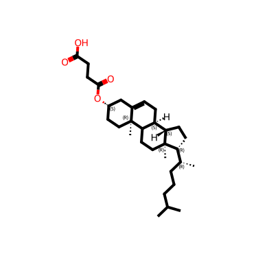 CC(C)CCC[C@@H](C)[C@H]1CC[C@H]2[C@@H]3CC=C4C[C@@H](OC(=O)CCC(=O)O)CC[C@]4(C)C3CC[C@]12C